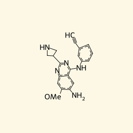 C#Cc1cccc(Nc2nc(C3CNC3)nc3cc(OC)c(N)cc23)c1